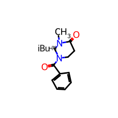 CCC(C)[C@@H]1N(C)C(=O)CCN1C(=O)c1ccccc1